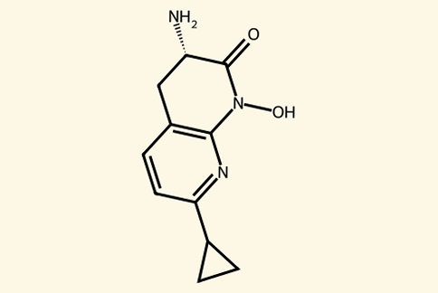 N[C@H]1Cc2ccc(C3CC3)nc2N(O)C1=O